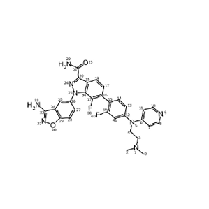 CN(C)CCN(c1ccncc1)c1ccc(-c2ccc3c(C(N)=O)nn(-c4ccc5onc(N)c5c4)c3c2F)c(F)c1